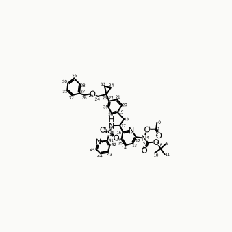 CC(=O)ON(C(=O)OC(C)(C)C)c1cccc(C(Cc2ccc(C3(COCc4ccccc4)CC3)cc2)NS(=O)(=O)c2ccccn2)n1